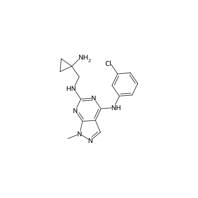 Cn1ncc2c(Nc3cccc(Cl)c3)nc(NCC3(N)CC3)nc21